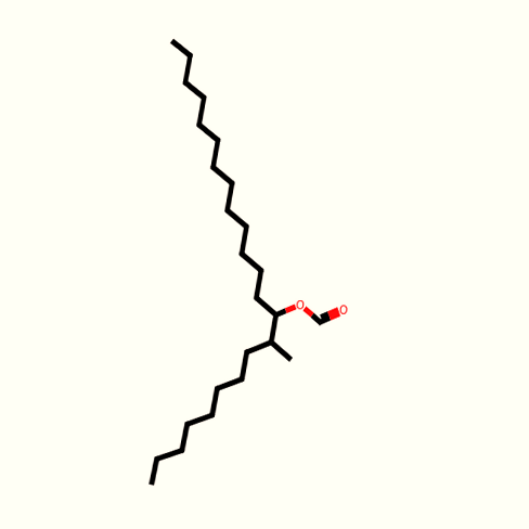 CCCCCCCCCCCCCC(O[C]=O)C(C)CCCCCCCC